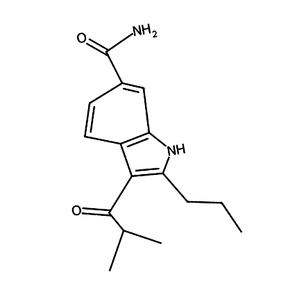 CCCc1[nH]c2cc(C(N)=O)ccc2c1C(=O)C(C)C